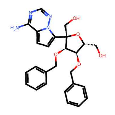 Nc1ncnn2c([C@]3(CO)O[C@H](CO)[C@@H](OCc4ccccc4)[C@H]3OCc3ccccc3)ccc12